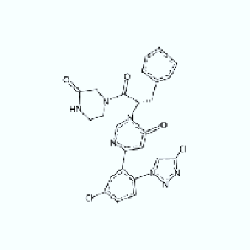 O=C1CN(C(=O)[C@H](Cc2ccccc2)n2cnc(-c3cc(Cl)ccc3-n3cc(Cl)nn3)cc2=O)CCN1